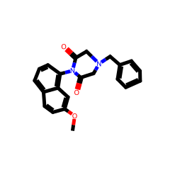 COc1ccc2cccc(N3C(=O)CN(Cc4ccccc4)CC3=O)c2c1